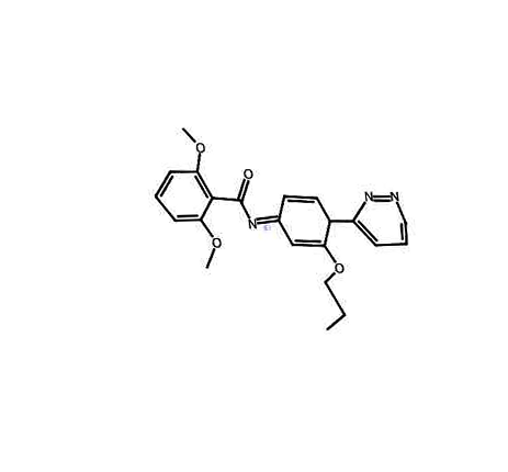 CCCOC1=C/C(=N/C(=O)c2c(OC)cccc2OC)C=CC1c1cccnn1